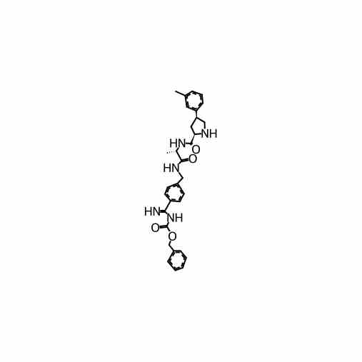 Cc1cccc([C@H]2CN[C@@H](C(=O)N[C@@H](C)C(=O)NCc3ccc(C(=N)NC(=O)OCc4ccccc4)cc3)C2)c1